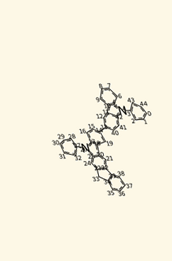 c1ccc(-n2c3ccccc3c3cc(-c4ccc5c(c4)c4cc6c(cc4n5-c4ccccc4)Cc4ccccc4-6)ccc32)cc1